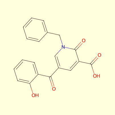 O=C(c1cc(C(=O)O)c(=O)n(Cc2ccccc2)c1)c1ccccc1O